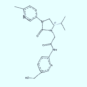 Cc1ccc(N2C[C@H](C(C)C)N(CC(=O)Nc3ccc(CO)cn3)C2=O)cn1